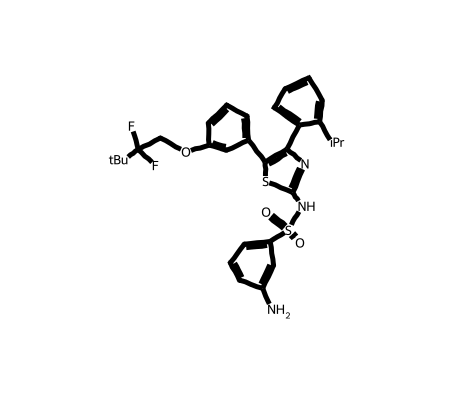 CC(C)c1ccccc1-c1nc(NS(=O)(=O)c2cccc(N)c2)sc1-c1cccc(OCC(F)(F)C(C)(C)C)c1